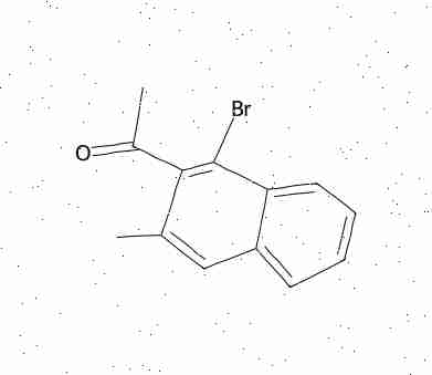 CC(=O)c1c(C)cc2ccccc2c1Br